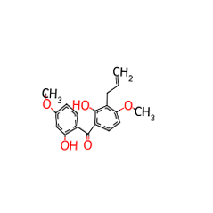 C=CCc1c(OC)ccc(C(=O)c2ccc(OC)cc2O)c1O